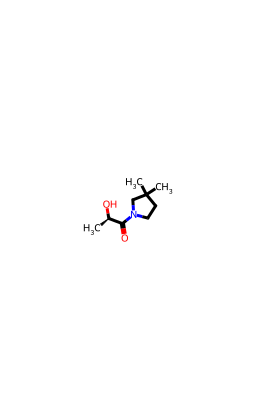 C[C@@H](O)C(=O)N1CCC(C)(C)C1